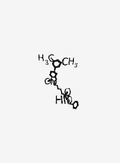 Cc1cc(C)cc(-c2ccc3c(c2)CN(CCCCCC(=O)NOCc2ccccc2)C3=O)c1